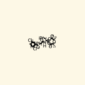 CC(C)C[C@H](NC(=O)CNC(=O)c1cc(Cl)ccc1Cl)B1OC(=O)[C@H](C)O[C@H](C)C(=O)O1